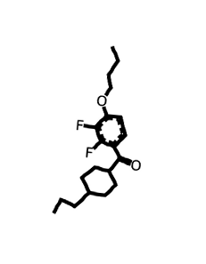 CCCCOc1ccc(C(=O)C2CCC(CCC)CC2)c(F)c1F